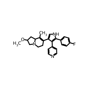 COC1CC2C(C)=C(c3c[nH]c(-c4ccc(F)cc4)c3-c3ccncc3)CCN2C1